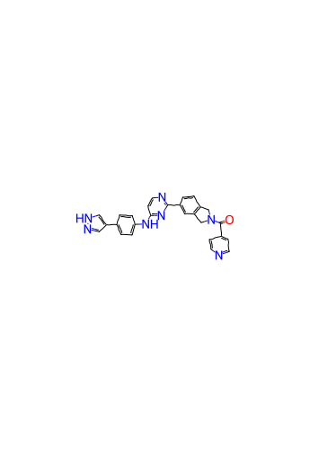 O=C(c1ccncc1)N1Cc2ccc(-c3nccc(Nc4ccc(-c5cn[nH]c5)cc4)n3)cc2C1